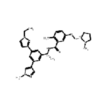 CCn1ccc(-c2cc(-c3cnn(C)c3)cc([C@@H](C)NC(=O)c3cc(OC[C@@H]4CCCN4C)ccc3C)c2)n1